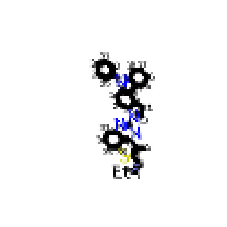 CC/C=C\C1=C(C)c2nc(-n3ccc4c5c6ccccc6n(-c6ccccc6)c5ccc43)nc3cccc(c23)S1